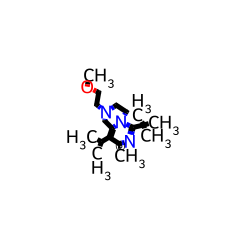 COCCN1CCN2C(C(C)(C)C)=N[C@@H](C)C(C(C)C)=C2C1